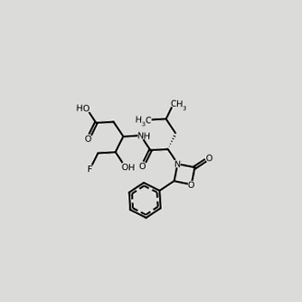 CC(C)C[C@@H](C(=O)NC(CC(=O)O)C(O)CF)N1C(=O)OC1c1ccccc1